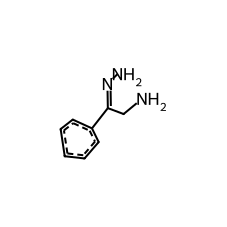 NCC(=NN)c1ccccc1